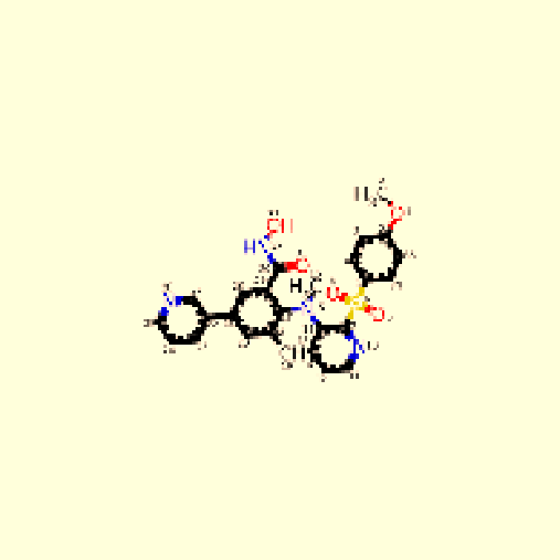 COc1ccc(S(=O)(=O)c2ncccc2N(C)c2c(C)cc(-c3cccnc3)cc2C(=O)NO)cc1